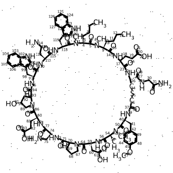 CCCC[C@H]1C(=O)N(C)[C@@H](CCCC)C(=O)NC(CCC(=O)O)C(=O)N[C@H](C(=O)NCC(N)=O)CSCC(=O)N[C@@H](Cc2ccc(OC)cc2)C(=O)N(C)[C@@H](C)C(=O)N[C@@H](CC(=O)O)C(=O)N2CCC[C@H]2C(=O)N[C@@H](CN)C(=O)N[C@@H](CCC(=O)O)C(=O)N2C[C@H](O)C[C@H]2C(=O)N[C@@H](Cc2c[nH]c3ccccc23)C(=O)N[C@@H](CCN)C(=O)N[C@@H](Cc2c[nH]c3ccccc23)C(=O)N1C